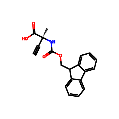 C#C[C@](C)(NC(=O)OCC1c2ccccc2-c2ccccc21)C(=O)O